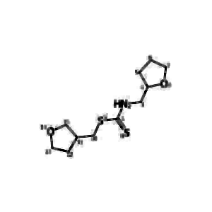 S=C(NCC1CCCO1)SCC1CCOC1